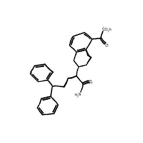 NC(=O)C(CCC(c1ccccc1)c1ccccc1)C1CCc2c(cccc2C(=O)C(=O)O)C1